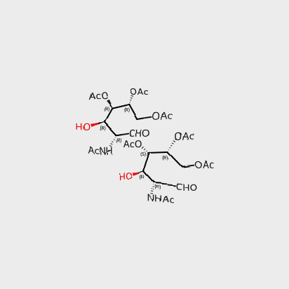 CC(=O)N[C@@H](C=O)[C@@H](O)[C@@H](OC(C)=O)[C@@H](COC(C)=O)OC(C)=O.CC(=O)N[C@@H](C=O)[C@@H](O)[C@H](OC(C)=O)[C@@H](COC(C)=O)OC(C)=O